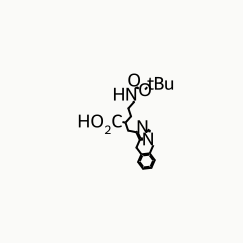 CC(C)(C)OC(=O)NCCCC(Cc1ncn2c1Cc1ccccc1C2)C(=O)O